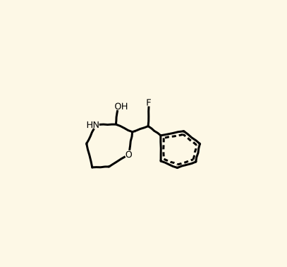 OC1NCCCO[C]1C(F)c1ccccc1